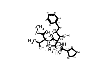 COC(=O)C(NC(=O)[C@](NC(=O)C1CCCC1)(C(C)C)C(O)C(N)Cc1ccccc1)C(C)C